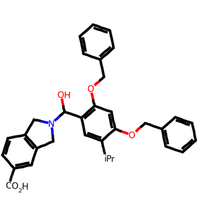 CC(C)c1cc(C(O)N2Cc3ccc(C(=O)O)cc3C2)c(OCc2ccccc2)cc1OCc1ccccc1